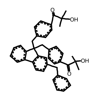 CC(C)(O)C(=O)c1ccc(CC2(Cc3ccc(C(=O)C(C)(C)O)cc3)c3ccccc3-c3ccc(Cc4ccccc4)cc32)cc1